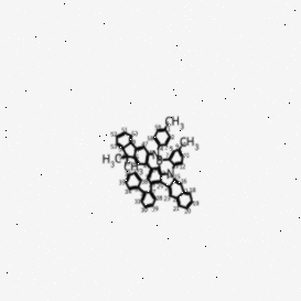 Cc1ccc(N2B3c4cc(C)ccc4-n4c5cc6ccccc6cc5c5c(-c6ccccc6-c6ccccc6)cc(c3c54)-c3cc4c(cc32)-c2ccccc2C4(C)C)cc1